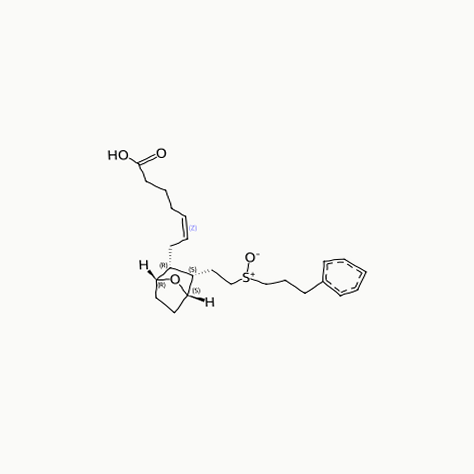 O=C(O)CCC/C=C\C[C@@H]1[C@H](CC[S+]([O-])CCCc2ccccc2)[C@@H]2CC[C@H]1O2